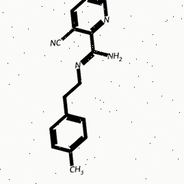 Cc1ccc(CC/N=C(\N)c2ncccc2C#N)cc1